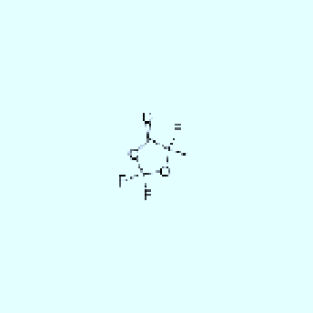 O=C1OC(F)(F)OC1(F)F